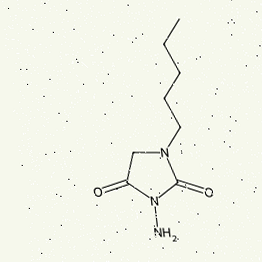 CCCCCN1CC(=O)N(N)C1=O